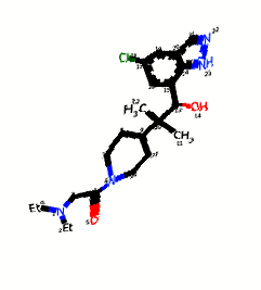 CCN(CC)CC(=O)N1CCC(C(C)(C)[C@H](O)c2cc(Cl)cc3cn[nH]c23)CC1